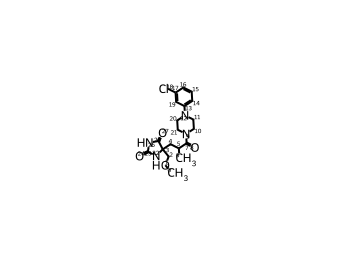 COCC1(CC(C)C(=O)N2CCN(c3cccc(Cl)c3)CC2)NC(=O)NC1=O